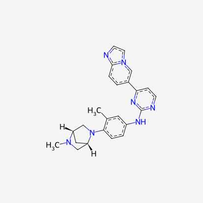 Cc1cc(Nc2nccc(-c3ccc4nccn4c3)n2)ccc1N1C[C@@H]2C[C@H]1CN2C